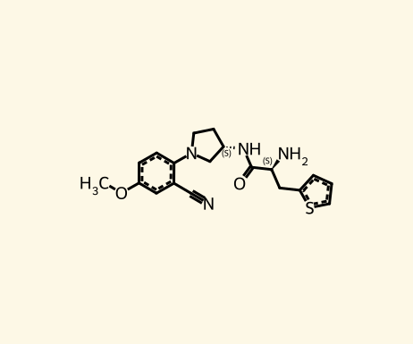 COc1ccc(N2CC[C@H](NC(=O)[C@@H](N)Cc3cccs3)C2)c(C#N)c1